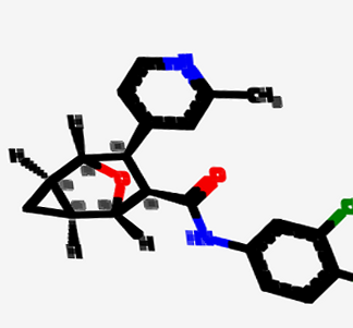 Cc1cc([C@@H]2[C@@H]3O[C@@H]([C@H]4C[C@H]43)[C@@H]2C(=O)Nc2ccc(Cl)c(Cl)c2)ccn1